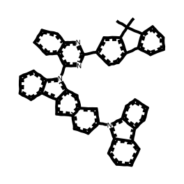 CC1(C)c2ccccc2-c2ccc(-c3nc(-n4c5ccccc5c5cc6ccc(-n7c8ccccc8c8ccccc87)cc6cc54)c4ccccc4n3)cc21